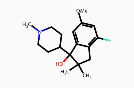 COc1cc(F)c2c(c1)C(O)(C1CCN(C)CC1)C(C)(C)C2